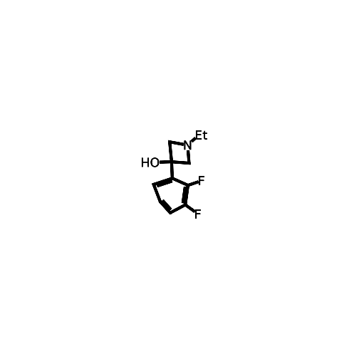 CCN1CC(O)(c2cccc(F)c2F)C1